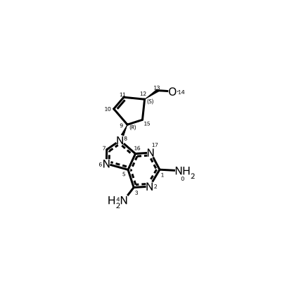 Nc1nc(N)c2ncn([C@H]3C=C[C@@H](C[O])C3)c2n1